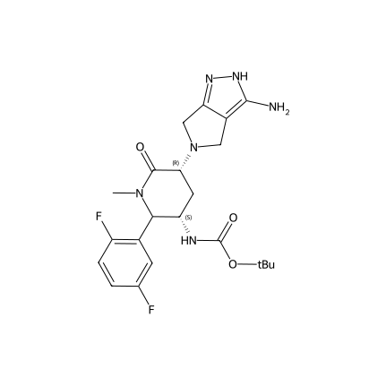 CN1C(=O)[C@H](N2Cc3n[nH]c(N)c3C2)C[C@H](NC(=O)OC(C)(C)C)C1c1cc(F)ccc1F